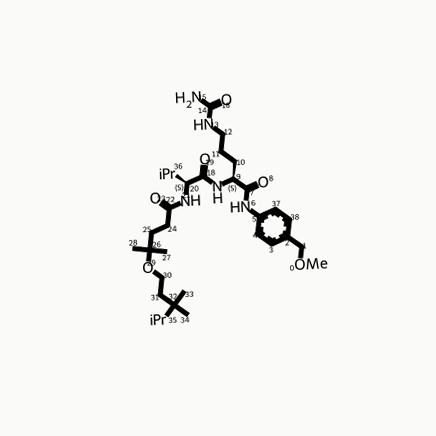 COCc1ccc(NC(=O)[C@H](CCCNC(N)=O)NC(=O)[C@@H](NC(=O)CCC(C)(C)OCCC(C)(C)C(C)C)C(C)C)cc1